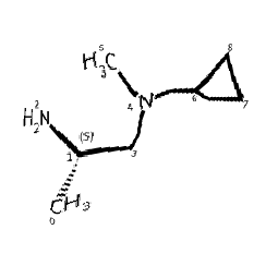 C[C@H](N)CN(C)C1CC1